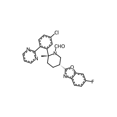 C[C@]1(c2cc(Cl)ccc2-c2ncccn2)CC[C@@H](c2nc3ccc(F)cc3o2)CN1C=O